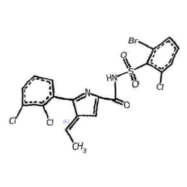 C/C=C1\C=C(C(=O)NS(=O)(=O)c2c(Cl)cccc2Br)N=C1c1cccc(Cl)c1Cl